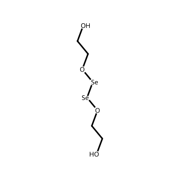 OCCO[Se][Se]OCCO